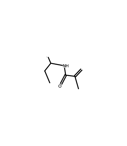 [CH2]C(CC)NC(=O)C(=C)C